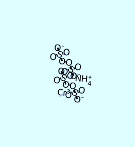 O=S(=O)([O-])OOS(=O)(=O)[O-].O=S(=O)([O-])OOS(=O)(=O)[O-].[Cr+3].[NH4+]